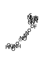 O=C1CC[C@H](Nc2ccc(C3CCN(CC(=O)N4CCN(c5ccc(-c6cc(F)c7c(c6)C(=O)N(C(C(=O)Nc6nccs6)c6ncn8c6CCC8)C7)cc5)CC4)CC3)cc2)C(=O)N1